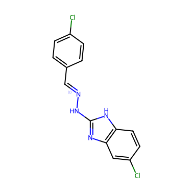 Clc1ccc(/C=N/Nc2nc3cc(Cl)ccc3[nH]2)cc1